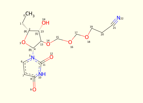 CC[C@H]1O[C@@H](n2ccc(=O)[nH]c2=O)C(OCOCOCCC#N)[C@H]1O